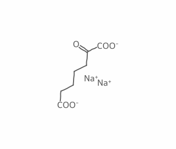 O=C([O-])CCCCC(=O)C(=O)[O-].[Na+].[Na+]